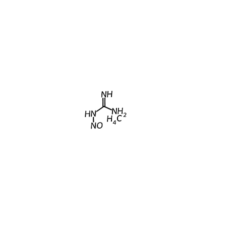 C.N=C(N)NN=O